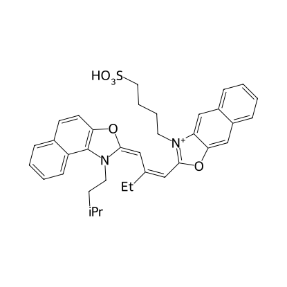 CCC(=Cc1oc2cc3ccccc3cc2[n+]1CCCCS(=O)(=O)O)C=C1Oc2ccc3ccccc3c2N1CCC(C)C